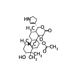 CC(=O)O[C@@H]1CC2C(C)(C)[C@H](O)CC[C@]2(C)C2CC[C@@]3(C)[C@H](C4=CNCC4)OC(=O)C4OC43[C@@]21C